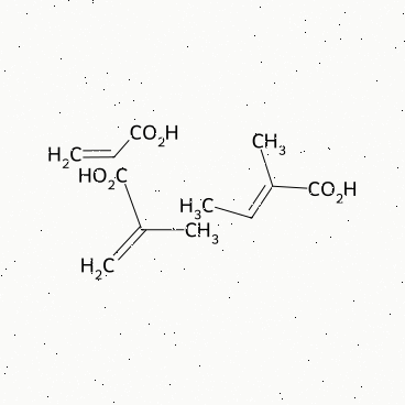 C=C(C)C(=O)O.C=CC(=O)O.CC=C(C)C(=O)O